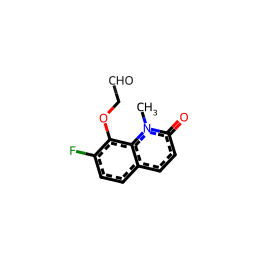 Cn1c(=O)ccc2ccc(F)c(OCC=O)c21